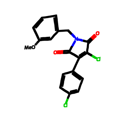 COc1cccc(CN2C(=O)C(Cl)=C(c3ccc(Cl)cc3)C2=O)c1